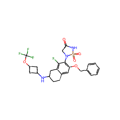 O=C1CN(c2c(OCc3ccccc3)cc3c(c2F)CC(NC2CC(OC(F)(F)F)C2)CC3)S(=O)(=O)N1